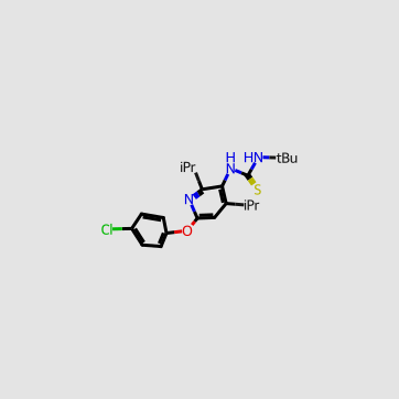 CC(C)c1cc(Oc2ccc(Cl)cc2)nc(C(C)C)c1NC(=S)NC(C)(C)C